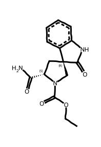 CCOC(=O)N1C[C@]2(C[C@H]1C(N)=O)C(=O)Nc1ccccc12